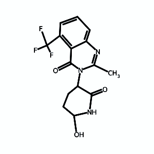 Cc1nc2cccc(C(F)(F)F)c2c(=O)n1C1CCC(O)NC1=O